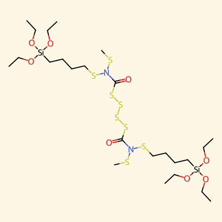 CCO[Si](CCCCSN(SC)C(=O)SSSSC(=O)N(SC)SCCCC[Si](OCC)(OCC)OCC)(OCC)OCC